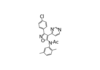 CC(=O)N(c1cc(C)ccc1C)c1onc(-c2ccc(Cl)cc2)c1-c1ccncn1